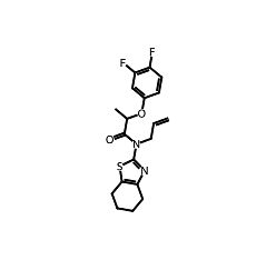 C=CCN(C(=O)C(C)Oc1ccc(F)c(F)c1)c1nc2c(s1)CCCC2